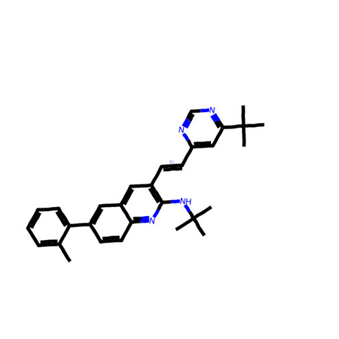 Cc1ccccc1-c1ccc2nc(NC(C)(C)C)c(/C=C/c3cc(C(C)(C)C)ncn3)cc2c1